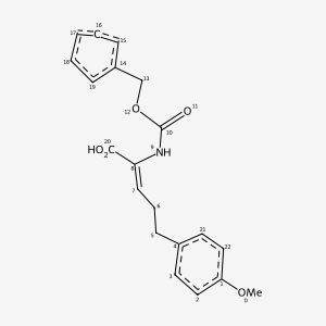 COc1ccc(CCC=C(NC(=O)OCc2ccccc2)C(=O)O)cc1